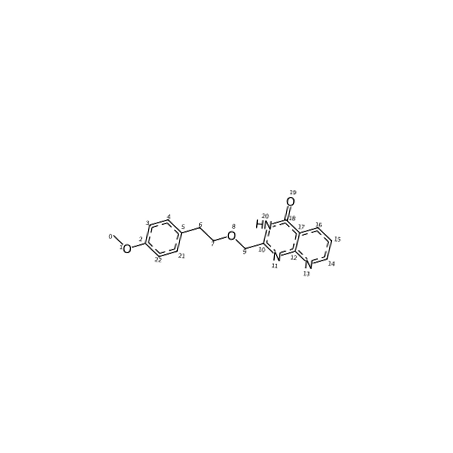 COc1ccc(CCOCc2nc3ncccc3c(=O)[nH]2)cc1